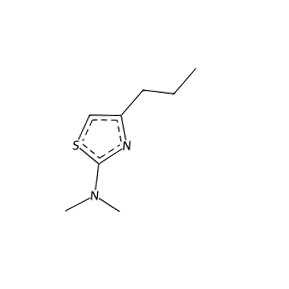 CCCc1csc(N(C)C)n1